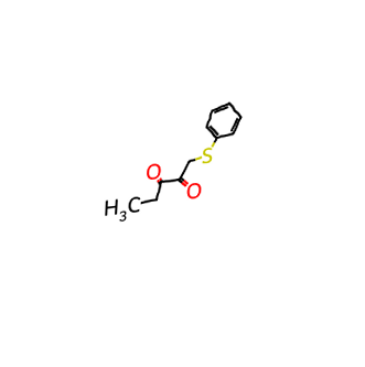 CCC(=O)C(=O)CSc1ccccc1